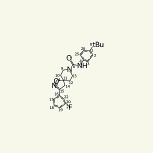 CC(C)(C)c1ccc(NC(=O)N2CCC3(CC2)CC(c2cccc(F)c2)=NO3)cc1